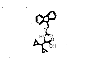 O=C(NC(C(=O)O)C(C1CC1)C1CC1)OCC1c2ccccc2-c2ccccc21